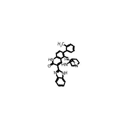 Cc1ccccc1-c1ccc2[nH]c(=O)c(-c3nc4ccccc4[nH]3)c(N[C@H]3CN4CCC3CC4)c2c1F